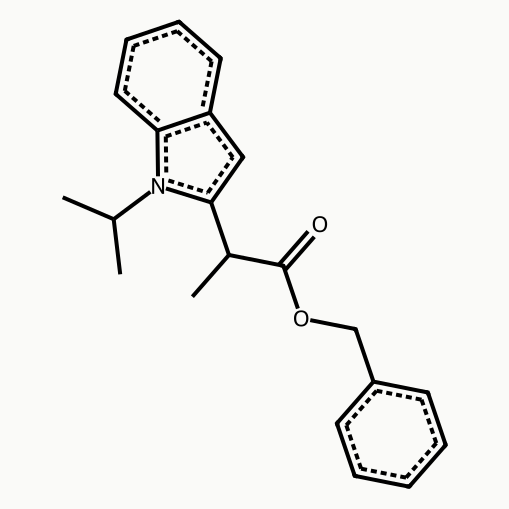 CC(C(=O)OCc1ccccc1)c1cc2ccccc2n1C(C)C